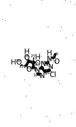 CC(=O)Nc1nc(Cl)c2ncn([C@@H]3O[C@H](CO)[C@@H](O)[C@]3(C)O)c2n1